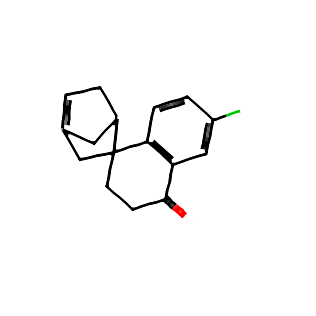 O=C1CCC2(CC3=CCC2C3)c2ccc(Cl)cc21